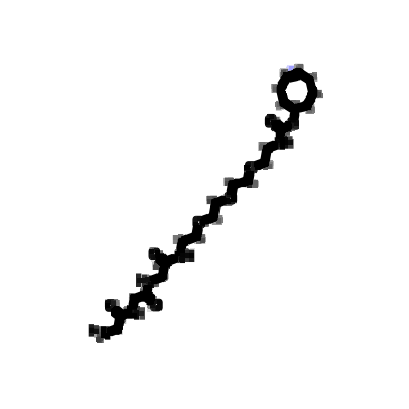 NCC(=O)NCC(=O)NCC(=O)NCCOCCOCCOCCNC(=O)OC1CC/C=C\CCC1